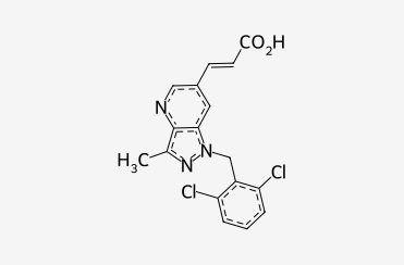 Cc1nn(Cc2c(Cl)cccc2Cl)c2cc(C=CC(=O)O)cnc12